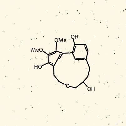 COc1c2cc(c(O)c1OC)CCCCC(O)CCc1ccc(O)c-2c1